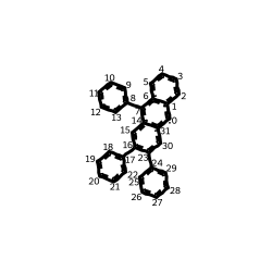 [c]1c2ccccc2c(-c2ccccc2)c2cc(-c3ccccc3)c(-c3ccccc3)cc12